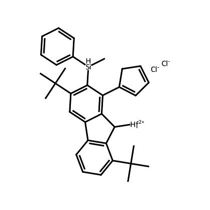 C[SiH](c1ccccc1)c1c(C(C)(C)C)cc2c(c1C1=CC=CC1)[CH]([Hf+2])c1c-2cccc1C(C)(C)C.[Cl-].[Cl-]